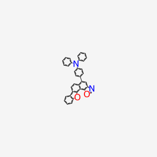 c1ccc(N(c2ccccc2)c2ccc(-c3cc4ncoc4c4c3ccc3c5ccccc5oc34)cc2)cc1